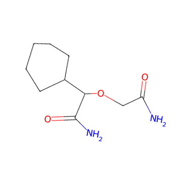 NC(=O)COC(C(N)=O)C1CCCCC1